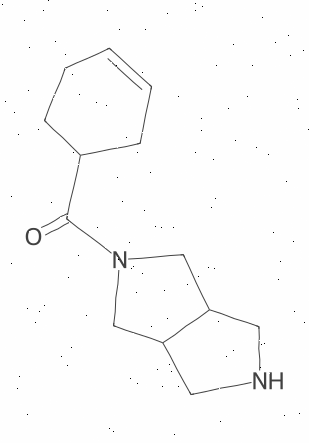 O=C(C1CC=CCC1)N1CC2CNCC2C1